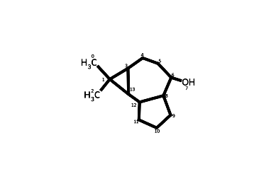 CC1(C)C2CCC(O)C3CCCC3C21